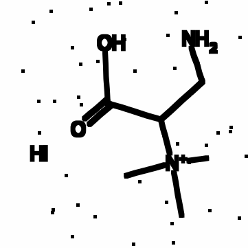 C[N+](C)(C)C(CN)C(=O)O.I